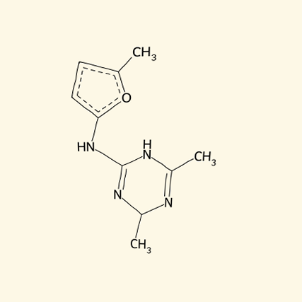 CC1=NC(C)N=C(Nc2ccc(C)o2)N1